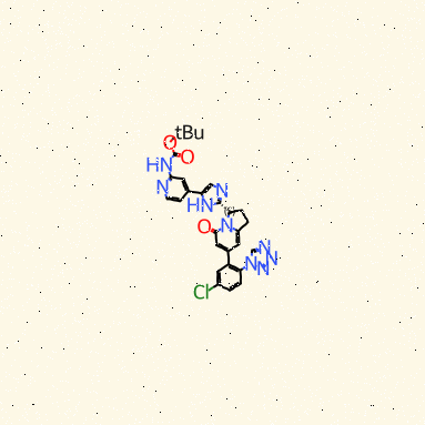 CC(C)(C)OC(=O)Nc1cc(-c2cnc([C@@H]3CCc4cc(-c5cc(Cl)ccc5-n5cnnn5)cc(=O)n43)[nH]2)ccn1